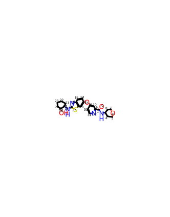 O=C(NC1CCOCC1)c1cc(Oc2ccc3nc(N[C@@H]4CCCC[C@H]4O)sc3c2)ccn1